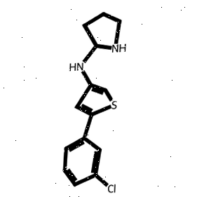 Clc1cccc(-c2cc(NC3CCCN3)cs2)c1